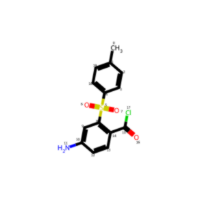 Cc1ccc(S(=O)(=O)c2cc(N)ccc2C(=O)Cl)cc1